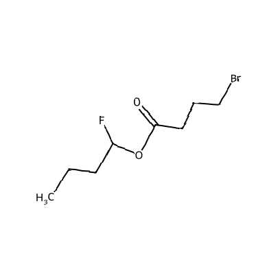 CCCC(F)OC(=O)CCCBr